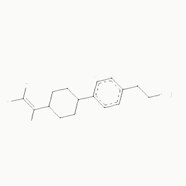 CCCc1ccc(C2CCC(C(F)=C(F)F)CC2)cc1